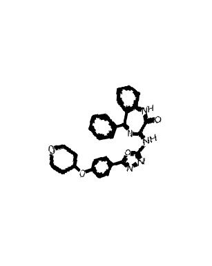 O=C1Nc2ccccc2C(c2ccccc2)=NC1Nc1nnc(-c2ccc(OC3CCOCC3)cc2)o1